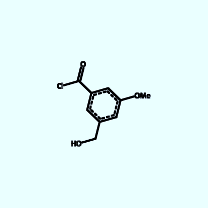 COc1cc(CO)cc(C(=O)Cl)c1